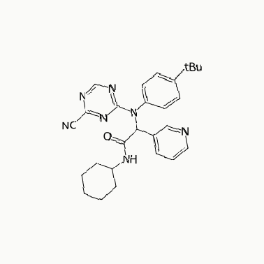 CC(C)(C)c1ccc(N(c2ncnc(C#N)n2)C(C(=O)NC2CCCCC2)c2cccnc2)cc1